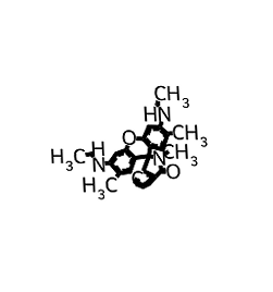 CCNc1cc2c(cc1C)C1(c3cc(C)c(NCC)cc3O2)c2ccccc2C(=O)N1C